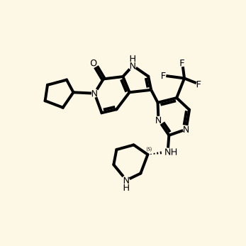 O=c1c2[nH]cc(-c3nc(N[C@H]4CCCNC4)ncc3C(F)(F)F)c2ccn1C1CCCC1